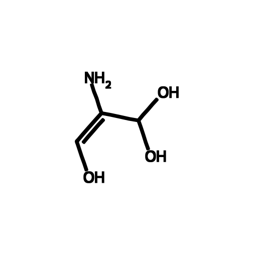 N/C(=C/O)C(O)O